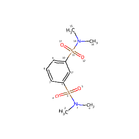 CN(C)S(=O)(=O)c1c[c]cc(S(=O)(=O)N(C)C)c1